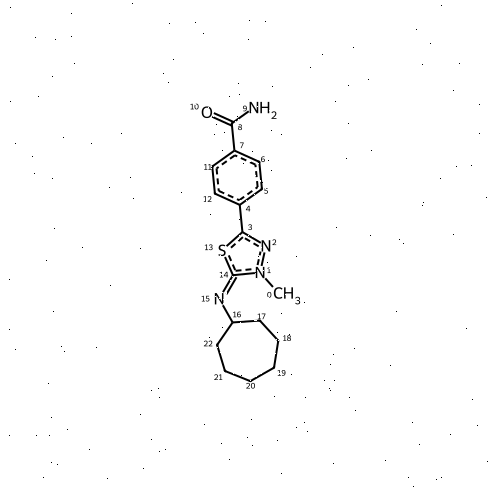 Cn1nc(-c2ccc(C(N)=O)cc2)sc1=NC1CCCCCC1